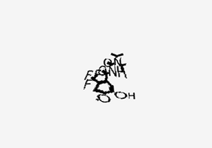 COc1cc(C(F)(F)F)c(C(=O)NC(=O)N(C(C)C)C(C)C)cc1O